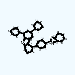 c1ccc(-c2cc(-c3ccccc3)c3oc4cccc(-c5ccc(-c6nc7ccccc7o6)cc5)c4c3c2)cc1